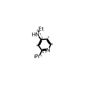 CCNc1ccnc(C(C)C)c1